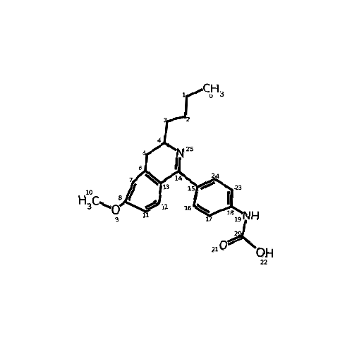 CCCCC1Cc2cc(OC)ccc2C(c2ccc(NC(=O)O)cc2)=N1